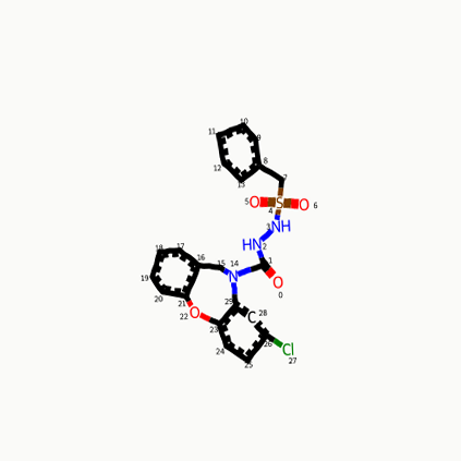 O=C(NNS(=O)(=O)Cc1ccccc1)N1Cc2ccccc2Oc2ccc(Cl)cc21